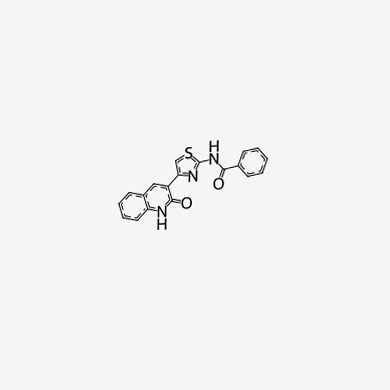 O=C(Nc1nc(-c2cc3ccccc3[nH]c2=O)cs1)c1ccccc1